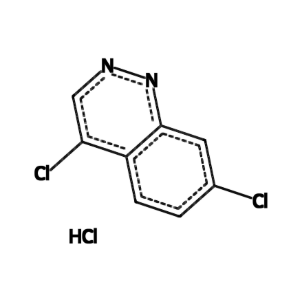 Cl.Clc1ccc2c(Cl)cnnc2c1